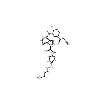 C[C@@H]1CCN(C(=O)CC#N)C[C@@H]1N(C)c1ncnc2c1ccn2C(=O)Nc1ccc(OCCCCN)cc1